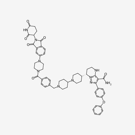 NC(=O)c1c(-c2ccc(Oc3ccccc3)cc2)nn2c1NCC[C@H]2C1CCN(C2CCN(Cc3ccc(C(=O)N4CCN(c5ccc6c(c5)C(=O)N(C5CCC(=O)NC5=O)C6=O)CC4)cc3)CC2)CC1